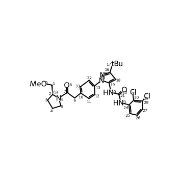 COC[C@@H]1CCCN1C(=O)Cc1ccc(-n2nc(C(C)(C)C)cc2NC(=O)Nc2cccc(Cl)c2Cl)cc1